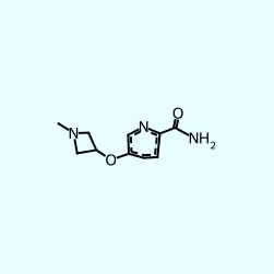 CN1CC(Oc2ccc(C(N)=O)nc2)C1